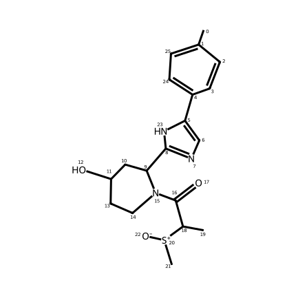 Cc1ccc(-c2cnc(C3CC(O)CCN3C(=O)C(C)[S+](C)[O-])[nH]2)cc1